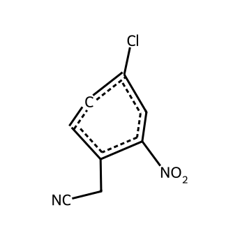 N#CCc1ccc(Cl)cc1[N+](=O)[O-]